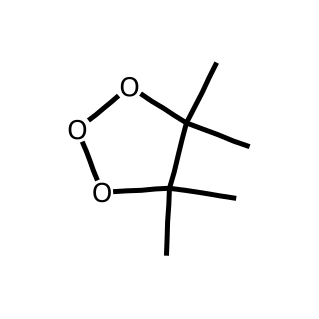 CC1(C)OOOC1(C)C